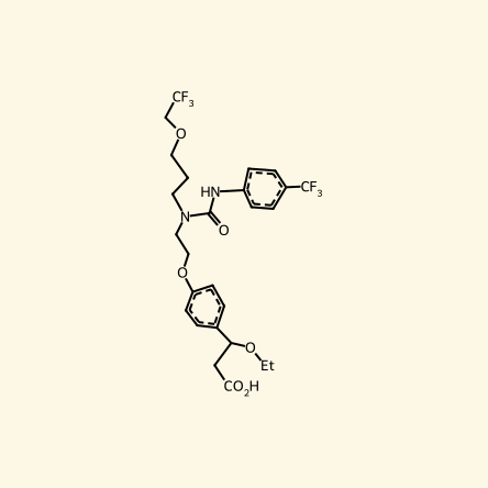 CCOC(CC(=O)O)c1ccc(OCCN(CCCOCC(F)(F)F)C(=O)Nc2ccc(C(F)(F)F)cc2)cc1